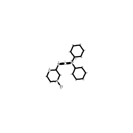 CCN1CCOC(N=C=[N+](C2CCCCC2)C2CCCCC2)C1